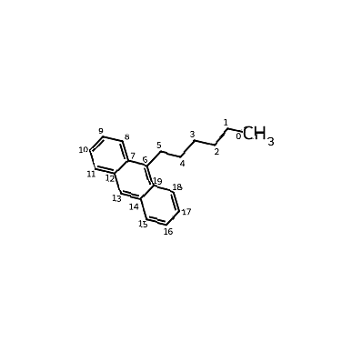 CCCCCCc1c2ccccc2cc2ccccc12